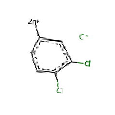 Clc1cc[c]([Zn+])cc1Cl.[Cl-]